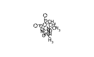 CCNC(=O)c1noc(-c2cc(C(C)C)c(OCc3ccccc3)cc2OCc2ccccc2)c1-c1noc(CC)n1